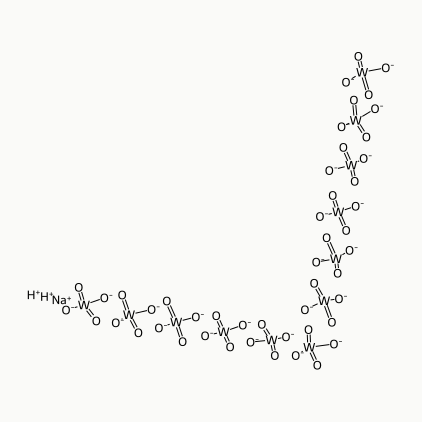 [H+].[H+].[Na+].[O]=[W](=[O])([O-])[O-].[O]=[W](=[O])([O-])[O-].[O]=[W](=[O])([O-])[O-].[O]=[W](=[O])([O-])[O-].[O]=[W](=[O])([O-])[O-].[O]=[W](=[O])([O-])[O-].[O]=[W](=[O])([O-])[O-].[O]=[W](=[O])([O-])[O-].[O]=[W](=[O])([O-])[O-].[O]=[W](=[O])([O-])[O-].[O]=[W](=[O])([O-])[O-].[O]=[W](=[O])([O-])[O-]